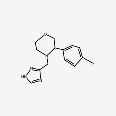 Fc1ccc(C2COCCN2Cc2nc[nH]n2)cc1